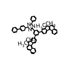 CC1(C)c2cc(-c3cc(-c4ccc5c(c4)C(C)(C)c4ccc6ccccc6c4-5)cc(-c4nc(-c5ccccc5)nc(C5C=CC(c6ccccc6)=CC5)n4)c3)ccc2-c2c1ccc1c#cccc21